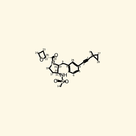 CC1(C#Cc2cccc(C[C@H]3[C@@H](NS(C)(=O)=O)CCN3C(=O)[C@H]3CCO3)c2)CC1